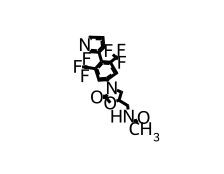 CC(=O)NCC1CN(c2cc(C(F)(F)F)c(-c3cccnc3)c(C(F)(F)F)c2)C(=O)O1